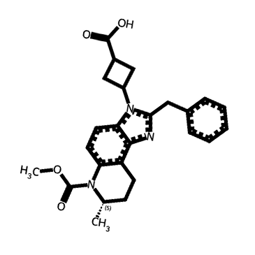 COC(=O)N1c2ccc3c(nc(Cc4ccccc4)n3C3CC(C(=O)O)C3)c2CC[C@@H]1C